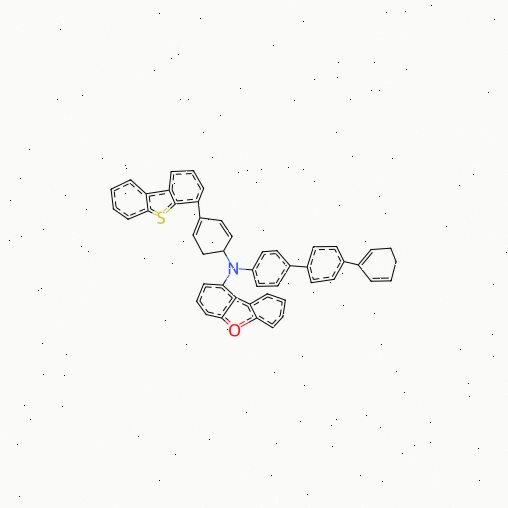 C1=CC(c2ccc(-c3ccc(N(c4cccc5oc6ccccc6c45)C4C=CC(c5cccc6c5sc5ccccc56)=CC4)cc3)cc2)=CCC1